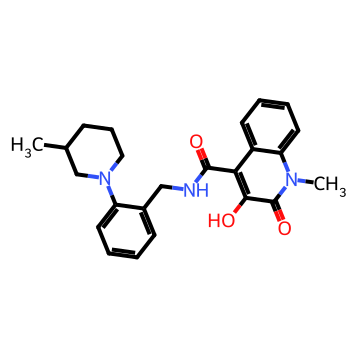 CC1CCCN(c2ccccc2CNC(=O)c2c(O)c(=O)n(C)c3ccccc23)C1